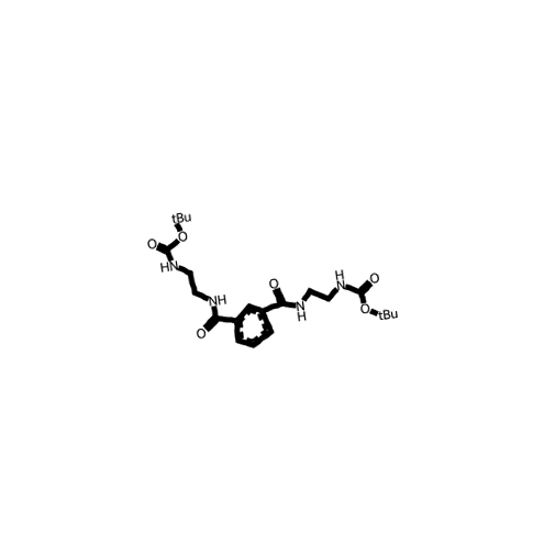 CC(C)(C)OC(=O)NCCNC(=O)c1cccc(C(=O)NCCNC(=O)OC(C)(C)C)c1